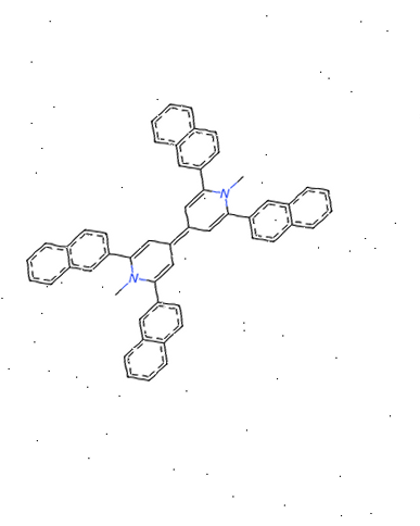 CN1C(c2ccc3ccccc3c2)=CC(=C2C=C(c3ccc4ccccc4c3)N(C)C(c3ccc4ccccc4c3)=C2)C=C1c1ccc2ccccc2c1